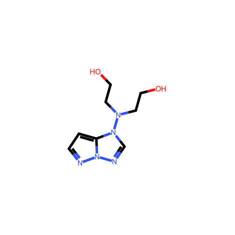 OCCN(CCO)n1cnn2nccc12